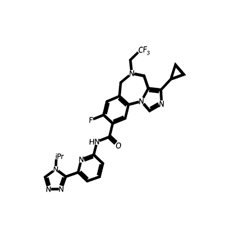 CC(C)n1cnnc1-c1cccc(NC(=O)c2cc3c(cc2F)CN(CC(F)(F)F)Cc2c(C4CC4)ncn2-3)n1